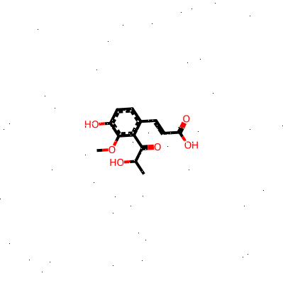 COc1c(O)ccc(C=CC(=O)O)c1C(=O)C(C)O